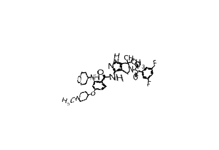 CN1CCC(Oc2ccc(C(=O)Nc3n[nH]c4c3CN(S(=O)(=O)c3cc(F)cc(F)c3)C4(C)C)c(NC3CCOCC3)c2)CC1